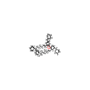 C(=Cc1cc(Cc2ccccc2)ccc1Oc1ccc(Cc2ccccc2)cc1C=CCCCCCc1ccccc1)CCCCCc1ccccc1